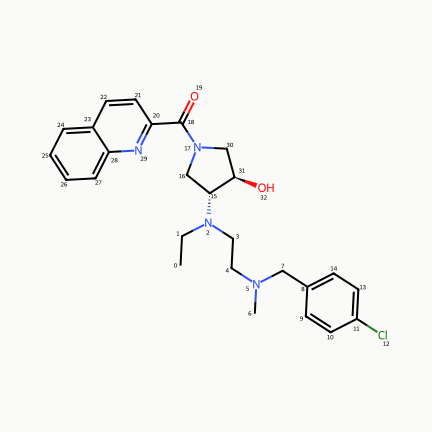 CCN(CCN(C)Cc1ccc(Cl)cc1)[C@@H]1CN(C(=O)c2ccc3ccccc3n2)C[C@H]1O